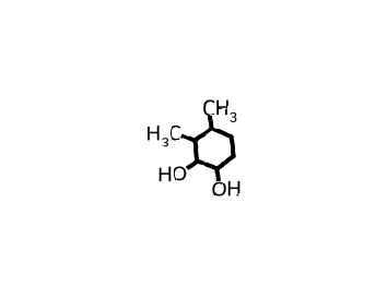 CC1CCC(O)C(O)C1C